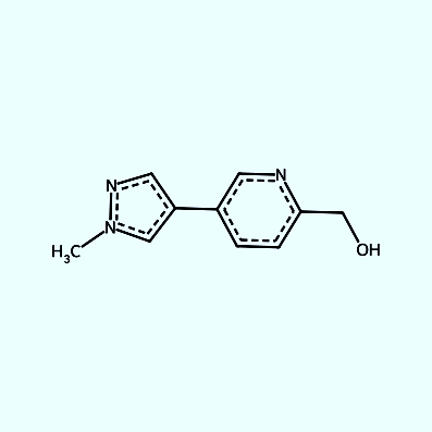 Cn1cc(-c2ccc(CO)nc2)cn1